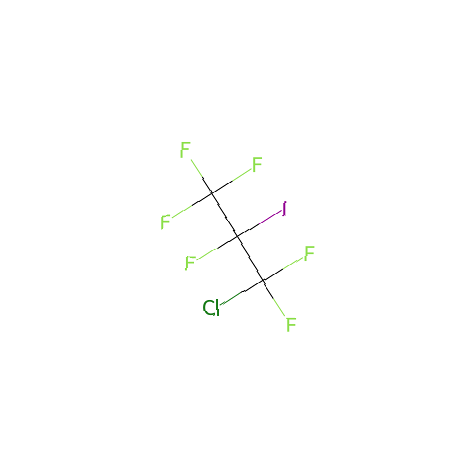 FC(F)(F)C(F)(I)C(F)(F)Cl